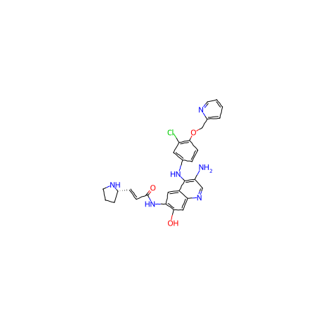 Nc1cnc2cc(O)c(NC(=O)/C=C/[C@@H]3CCCN3)cc2c1Nc1ccc(OCc2ccccn2)c(Cl)c1